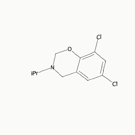 CC(C)N1COc2c(Cl)cc(Cl)cc2C1